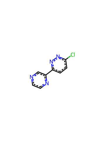 Clc1ccc(-c2cnccn2)nn1